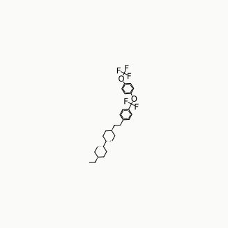 CC[C@H]1CC[C@H]([C@H]2CC[C@H](CCc3ccc(C(F)(F)Oc4ccc(OC(F)(F)F)cc4)cc3)CC2)CC1